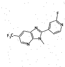 Cn1c(-c2ccnc(F)c2)nc2cc(C(F)(F)F)cnc21